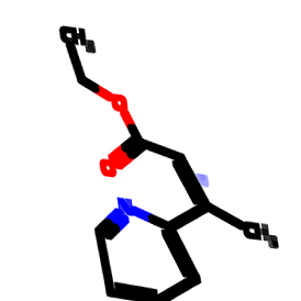 CCOC(=O)/C=C(/C)c1ccccn1